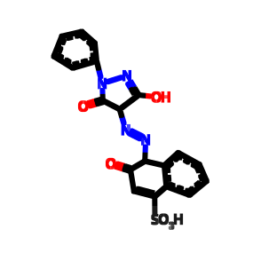 O=C1C=C(S(=O)(=O)O)c2ccccc2C1/N=N/C1C(=O)N(c2ccccc2)N=C1O